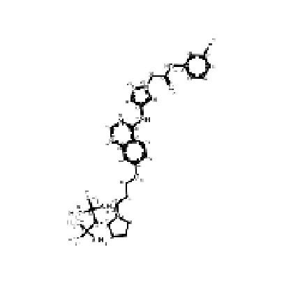 CC(C)(C)[C]([C@H]1CCCN1CCCOc1ccc2c(Nc3cnn(CC(=O)Nc4cccc(F)c4)c3)ncnc2c1)C(C)(C)C